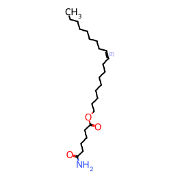 CCCCCCCC/C=C\CCCCCCCCOC(=O)CCCCC(N)=O